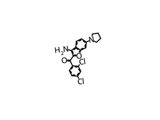 Nc1c(C(=O)c2ccc(Cl)cc2Cl)oc2cc(N3CCCC3)ccc12